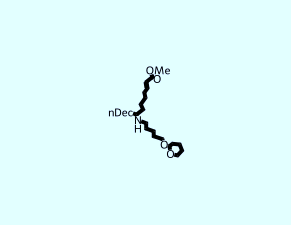 CCCCCCCCCCC(CCCCC=CC(=O)OC)NCCCCCOC1CCCCO1